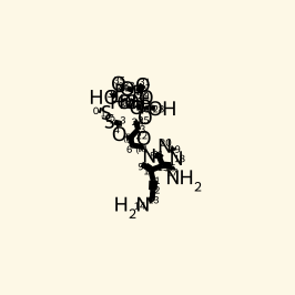 CSSCO[C@@H]1C[C@H](n2cc(C#CCN)c3c(N)ncnc32)OC1COP(=O)(O)OP(=O)(O)OP(=O)(O)O